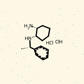 C[C@H](N[C@H]1CCCC[C@H]1N)c1ccccc1.Cl.Cl